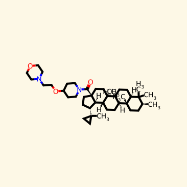 C[C@H]1CC[C@]2(C)[C@H]3CC[C@@H]4[C@H]5[C@H](C6(C)CC6)CC[C@]5(C(=O)N5CCC(OCCN6CCOCC6)CC5)CC[C@@]4(C)[C@]3(C)CC[C@H]2C1(C)C